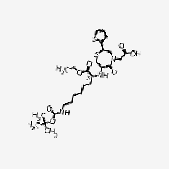 CCOC(=O)[C@H](CCCCCCNC(=O)OC(C)(C)C)NC1CSC(c2cccs2)CN(CC(=O)O)C1=O